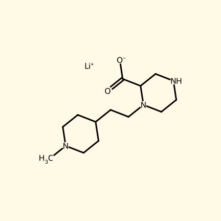 CN1CCC(CCN2CCNCC2C(=O)[O-])CC1.[Li+]